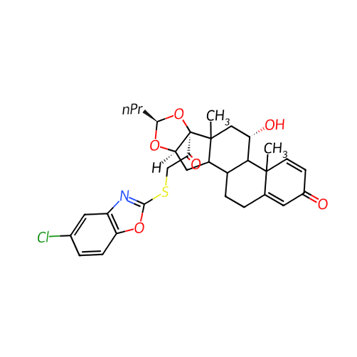 CCC[C@@H]1O[C@@H]2CC3C4CCC5=CC(=O)C=CC5(C)C4[C@@H](O)CC3(C)[C@]2(C(=O)CSc2nc3cc(Cl)ccc3o2)O1